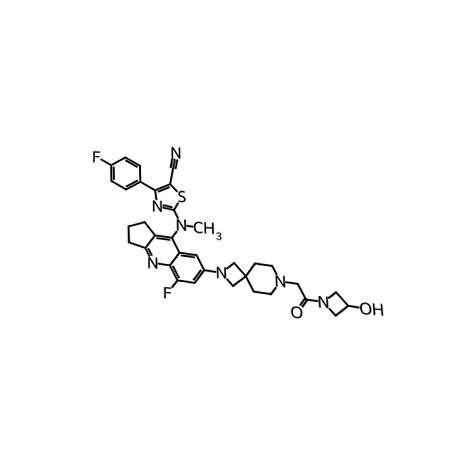 CN(c1nc(-c2ccc(F)cc2)c(C#N)s1)c1c2c(nc3c(F)cc(N4CC5(CCN(CC(=O)N6CC(O)C6)CC5)C4)cc13)CCC2